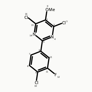 COc1c(Cl)nc(-c2ccc(Cl)c(F)c2)nc1Cl